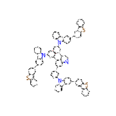 c1cc(-c2cc(-c3cccc(-n4c5ccccc5c5cc(-c6ccc7sc8ccccc8c7c6)ccc54)c3)c3c(-c4cccc(-n5c6ccccc6c6cc(-c7ccc8sc9ccccc9c8c7)ccc65)c4)ccnc3c2)cc(-n2c3ccccc3c3cc(-c4ccc5sc6ccccc6c5c4)ccc32)c1